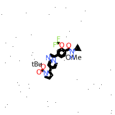 COc1cc(-c2cnc3cc(C4CCCN4C(=O)OC(C)(C)C)ccn23)cc(OC(F)F)c1C(=O)NC1CC1